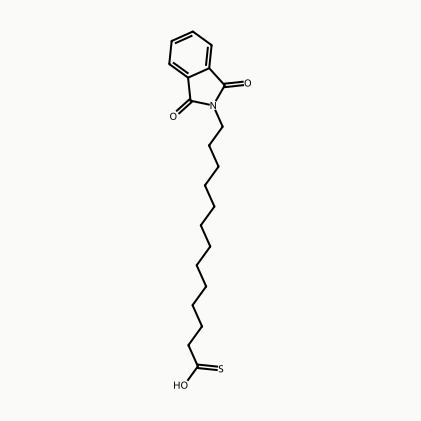 O=C1c2ccccc2C(=O)N1CCCCCCCCCCCCC(O)=S